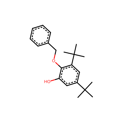 CC(C)(C)c1cc(O)c(OCc2ccccc2)c(C(C)(C)C)c1